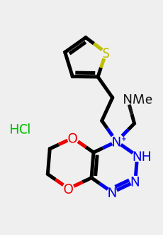 CNC[N+]1(CCc2cccs2)NN=NC2=C1OCCO2.Cl